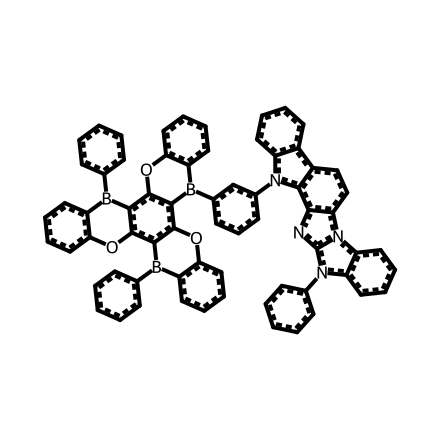 c1ccc(B2c3ccccc3Oc3c2c2c(c4c3B(c3cccc(-n5c6ccccc6c6ccc7c(nc8n(-c9ccccc9)c9ccccc9n78)c65)c3)c3ccccc3O4)B(c3ccccc3)c3ccccc3O2)cc1